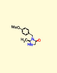 C=C1NCC(=O)N1Cc1ccc(OC)cc1